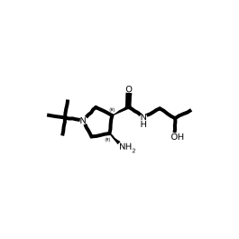 CC(O)CNC(=O)[C@@H]1CN(C(C)(C)C)C[C@@H]1N